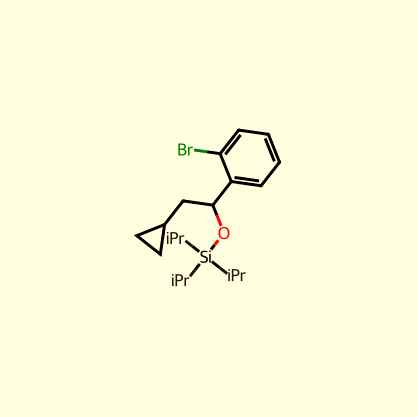 CC(C)[Si](OC(CC1CC1)c1ccccc1Br)(C(C)C)C(C)C